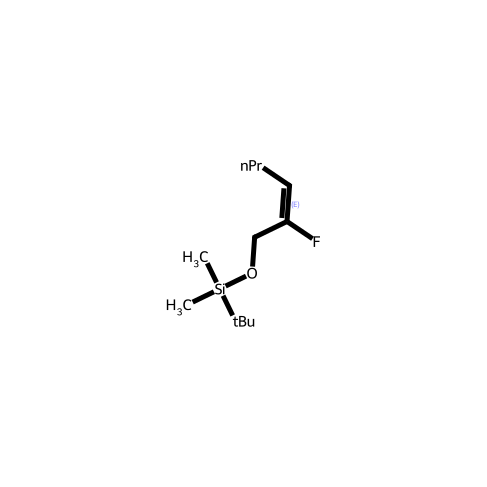 CCC/C=C(/F)CO[Si](C)(C)C(C)(C)C